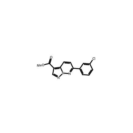 COC(=O)c1cnn2nc(-c3cccc(Cl)c3)ccc12